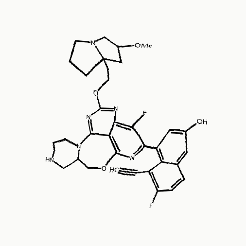 C#Cc1c(F)ccc2cc(O)cc(-c3nc4c5c(nc(OCC67CCCN6CC(OC)C7)nc5c3F)N3CCNCC3CO4)c12